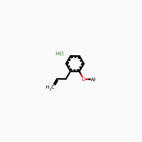 C=CCc1ccccc1[O][Al].Cl